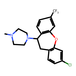 CN1CCN(C2Cc3ccc(Cl)cc3Oc3cc(C(F)(F)F)ccc32)CC1